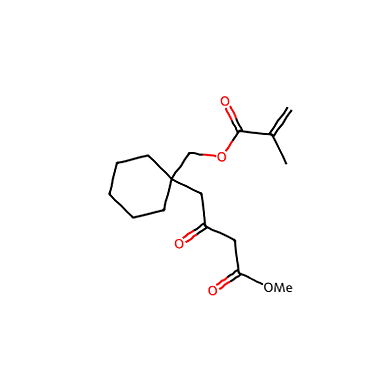 C=C(C)C(=O)OCC1(CC(=O)CC(=O)OC)CCCCC1